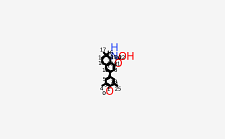 COc1c(C)cc(-c2ccc3c(c2)CCC(C)(C)[C@H]3NC(=O)O)cc1C